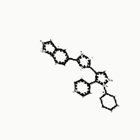 c1cc(-c2c(-c3nc(-c4ccc5[nH]ncc5c4)no3)cnn2C2CCCCC2)ccn1